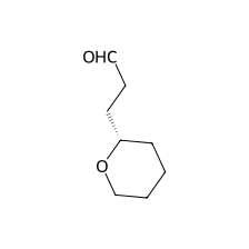 O=CCC[C@@H]1CCCCO1